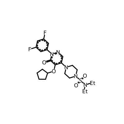 CCN(CC)S(=O)(=O)N1CCN(c2cnn(-c3cc(F)cc(F)c3)c(=O)c2OC2CCCC2)CC1